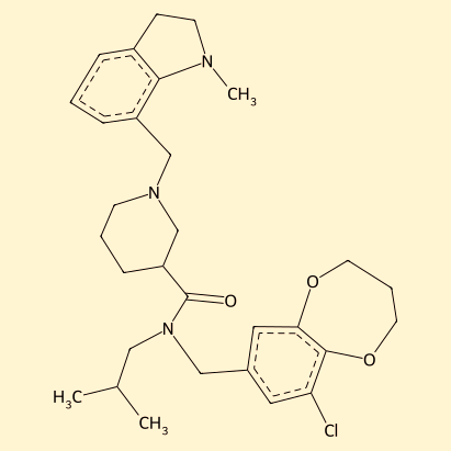 CC(C)CN(Cc1cc(Cl)c2c(c1)OCCCO2)C(=O)C1CCCN(Cc2cccc3c2N(C)CC3)C1